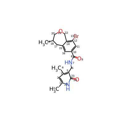 Cc1cc(C)c(CNC(=O)c2cc(Br)c3c(c2)CC(C)COC3)c(=O)[nH]1